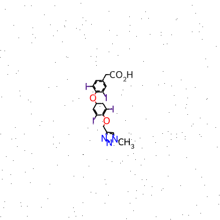 Cn1cc(COC2=C(I)CC(Oc3c(I)cc(CC(=O)O)cc3I)C=C2I)nn1